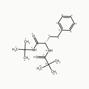 CC(C)(C)NC(=O)[C@H](CCc1ccccc1)NC(=O)C(C)(C)C